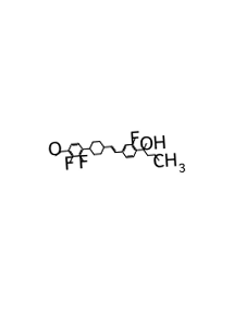 CCCC(O)c1ccc(/C=C/C2CCC(c3ccc(C4CO4)c(F)c3F)CC2)cc1F